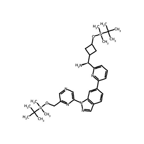 CC(C)(C)[Si](C)(C)OCc1cncc(-n2ncc3ccc(-c4cccc([C@@H](N)C5CC(O[Si](C)(C)C(C)(C)C)C5)n4)cc32)n1